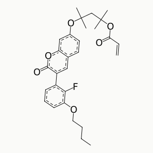 C=CC(=O)OC(C)(C)CC(C)(C)Oc1ccc2cc(-c3cccc(OCCCC)c3F)c(=O)oc2c1